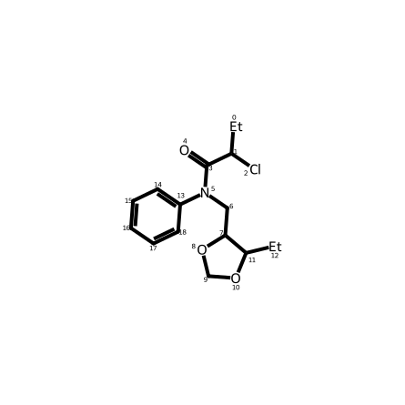 CCC(Cl)C(=O)N(CC1OCOC1CC)c1ccccc1